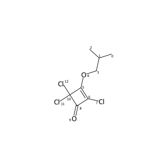 CC(C)COC1=C(Cl)C(=O)C1(Cl)Cl